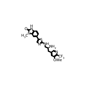 COc1cc(C[C@H](N)CNc2ncc(-c3ccc4[nH]c(=O)n(C)c4c3)s2)cnc1C(F)(F)F